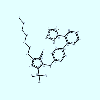 CCCCCCCn1nc(C(C)(C)C)n(Cc2ccc(-c3ccccc3-c3nnn[nH]3)cc2)c1=O